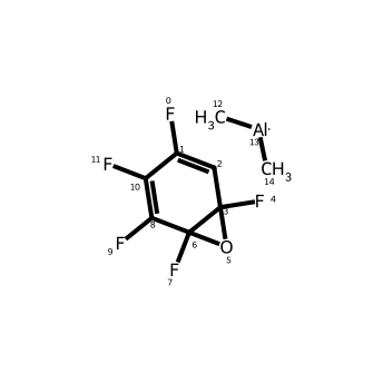 FC1=CC2(F)OC2(F)C(F)=C1F.[CH3][Al][CH3]